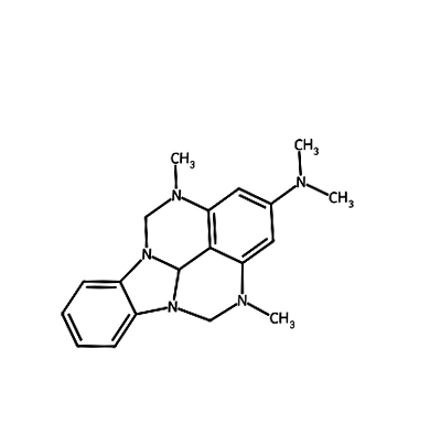 CN(C)c1cc2c3c(c1)N(C)CN1c4ccccc4N(CN2C)C31